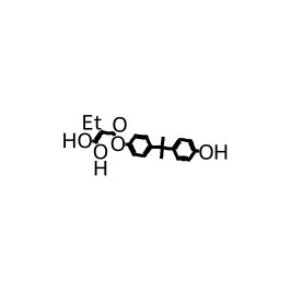 CCC(C(=O)Oc1ccc(C(C)(C)c2ccc(O)cc2)cc1)=C(O)O